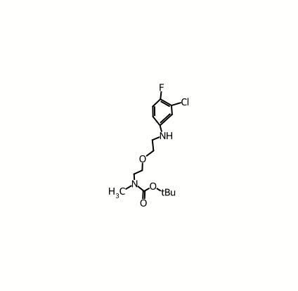 CN(CCOCCNc1ccc(F)c(Cl)c1)C(=O)OC(C)(C)C